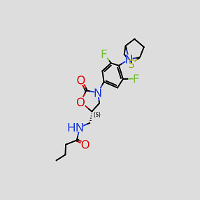 CCCC(=O)NC[C@H]1CN(c2cc(F)c(N3C4CCC3SC4)c(F)c2)C(=O)O1